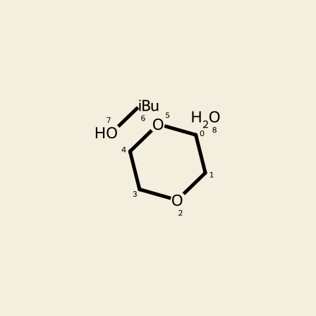 C1COCCO1.CCC(C)O.O